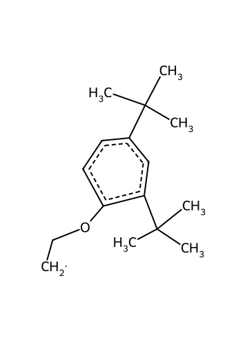 [CH2]COc1ccc(C(C)(C)C)cc1C(C)(C)C